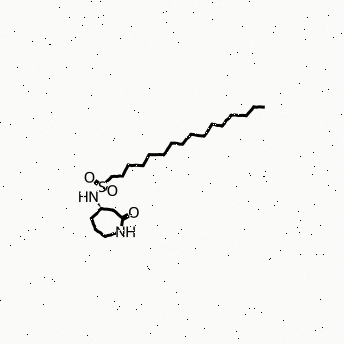 CCCCCCCCCCCCCCCCS(=O)(=O)N[C@H]1CCCNC(=O)C1